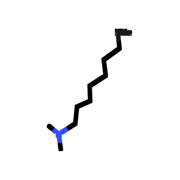 CNCCCCCCCN(C)C